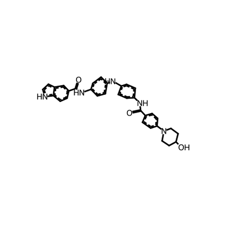 O=C(Nc1ccc(Nc2ccc(NC(=O)c3ccc4[nH]ccc4c3)cc2)cc1)c1ccc(N2CCC(O)CC2)cc1